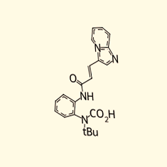 CC(C)(C)N(C(=O)O)c1ccccc1NC(=O)C=Cc1cnc2ccccn12